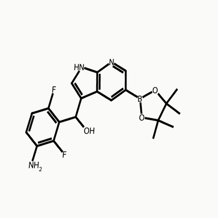 CC1(C)OB(c2cnc3[nH]cc(C(O)c4c(F)ccc(N)c4F)c3c2)OC1(C)C